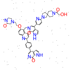 C[C@@H]1C(=O)N(C)CCN1CCOc1ccc2nc(-c3ccc(-c4cn(C)c(=O)c5[nH]ccc45)cc3)ccc2c1Cn1cc(-c2ccc(N3CCC4(CCN(C(=O)CO)CC4)C3)nc2)c2cc[nH]c2c1=O